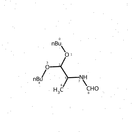 CCCCOC(OCCCC)C(C)NC=O